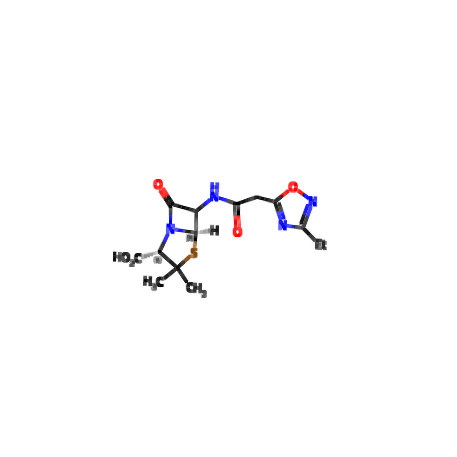 CCc1noc(CC(=O)NC2C(=O)N3[C@@H]2SC(C)(C)[C@@H]3C(=O)O)n1